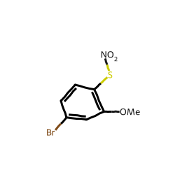 COc1cc(Br)ccc1S[N+](=O)[O-]